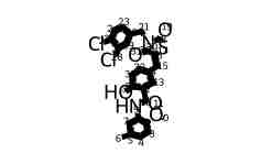 COc1ccc(C)cc1NC(=O)c1cc(/C=C2/SC(=O)N(Cc3ccc(Cl)c(Cl)c3)C2=O)ccc1O